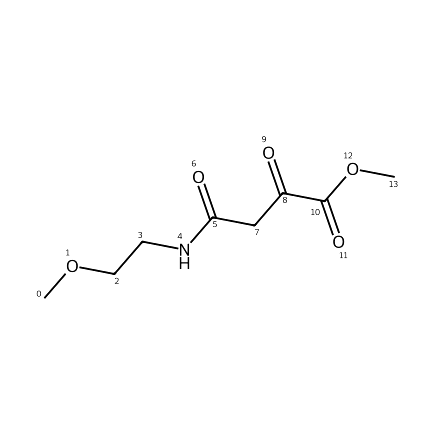 COCCNC(=O)CC(=O)C(=O)OC